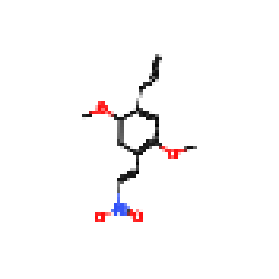 C=CCc1cc(OC)c(/C=C/[N+](=O)[O-])cc1OC